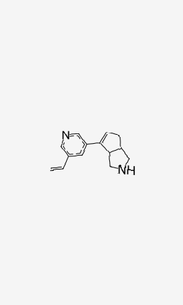 C=Cc1cncc(C2=CCC3CNCC23)c1